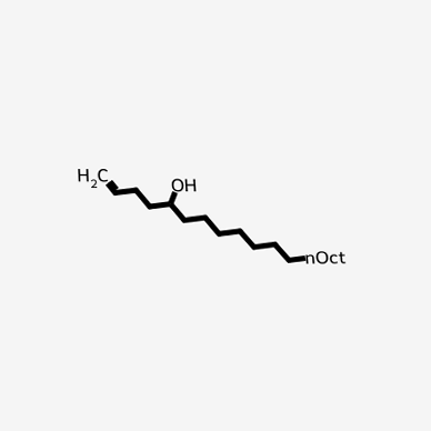 C=CCCC(O)CCCCCCCCCCCCCCC